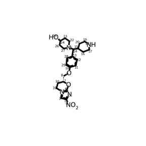 O=[N+]([O-])c1cn2c(n1)O[C@@H](COc1ccc(C(C3CCNCC3)N3CCC(O)CC3)cc1)CC2